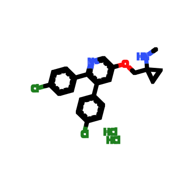 CNC1(COc2cnc(-c3ccc(Cl)cc3)c(-c3ccc(Cl)cc3)c2)CC1.Cl.Cl